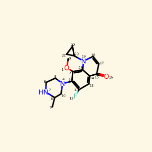 COc1c(N2CCNC(C)C2)c(F)cc2c(=O)ccn(C3CC3)c12